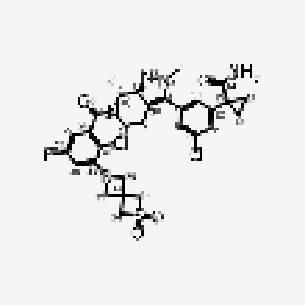 C[C@@H]1c2nn(C)c(-c3cc(Cl)cc(C4(C(N)=O)CC4)c3)c2CCN1C(=O)c1cc(F)cc(N2CC3(C2)CS(=O)(=O)C3)c1Cl